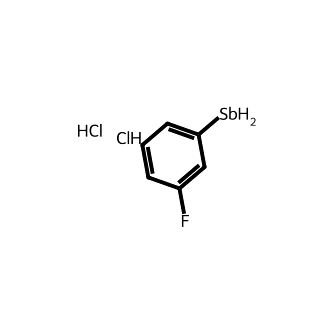 Cl.Cl.Fc1ccc[c]([SbH2])c1